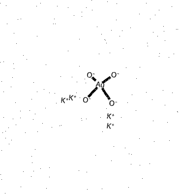 [K+].[K+].[K+].[K+].[O-][Au]([O-])([O-])[O-]